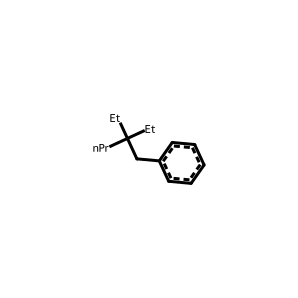 CCCC(CC)(CC)Cc1ccccc1